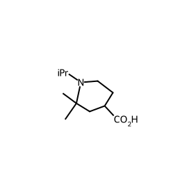 CC(C)N1CCC(C(=O)O)CC1(C)C